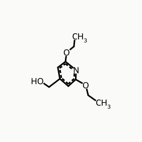 CCOc1cc(CO)cc(OCC)n1